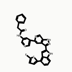 O=C(Cc1ccccc1)Nc1cncc(-c2cc3c(-c4cc5c(-c6ccc(F)s6)cccc5[nH]4)n[nH]c3cn2)c1